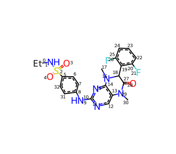 CCNS(=O)(=O)c1ccc(Nc2ncc3c(n2)N(C)C(c2c(F)cccc2F)C(=O)N3C)cc1